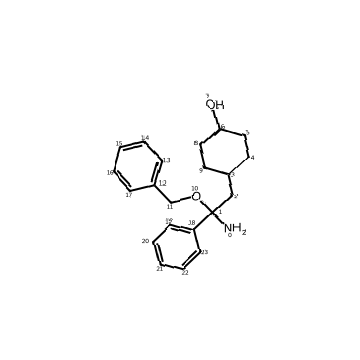 NC(CC1CCC(O)CC1)(OCc1ccccc1)c1ccccc1